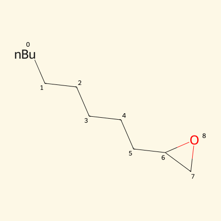 [CH2]CCCCCCCCC1CO1